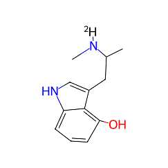 [2H]N(C)C(C)Cc1c[nH]c2cccc(O)c12